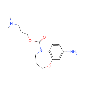 CN(C)CCCOC(=O)N1CCCOc2cc(N)ccc21